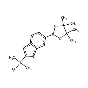 CC1(C)OB(c2ccc3cc(S(C)(C)C)sc3c2)OC1(C)C